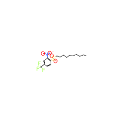 CCCCCCCCCCS(=O)(=O)c1ccc(C(F)(F)F)cc1[N+](=O)[O-]